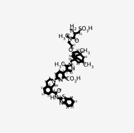 Cc1c(-c2ccc(N3CCc4cccc(C(=O)Nc5nc6ccccc6s5)c4C3)nc2C(=O)O)cnn1CC12CC3(C)CC(C)(C1)CC(OCCN(C)C(=O)C(N)CS(=O)(=O)O)(C3)C2